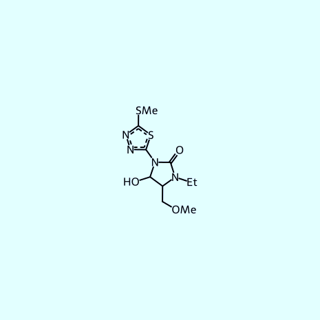 CCN1C(=O)N(c2nnc(SC)s2)C(O)C1COC